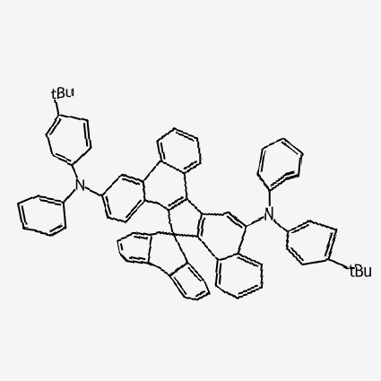 CC(C)(C)c1ccc(N(c2ccccc2)c2ccc3c4c(c5ccccc5c3c2)-c2cc(N(c3ccccc3)c3ccc(C(C)(C)C)cc3)c3ccccc3c2C42c3ccccc3-c3ccccc32)cc1